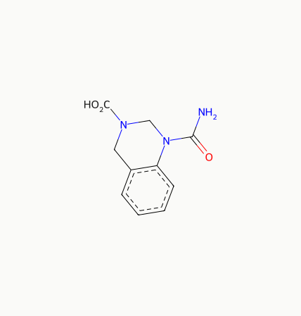 NC(=O)N1CN(C(=O)O)Cc2ccccc21